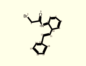 O=C(CBr)N=C1C=CC=CC1C=Cc1ccccc1